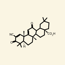 CC1(C)CC[C@]2(C(=O)O)CCC3C(C(=O)C=C4[C@@]3(C)CC[C@H]3C(C)(C)C(=O)C(C#N)=C[C@]43C)C2C1